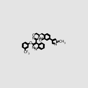 Cn1cc(-c2ccc(C[C@@H]3CON=C(c4c(Oc5cccc(C(F)(F)F)c5)nnc5ccccc45)N3)c(Cl)c2)cn1